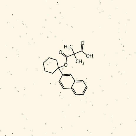 CC(C)(C(=O)O)C(=O)OC1(c2ccc3ccccc3c2)CCCCC1